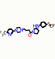 O=C(CCCN1CCN(c2ccc(C(F)(F)F)nc2)CC1)N1CCC[C@H](Nc2ccc(SC(F)(F)F)cc2)C1